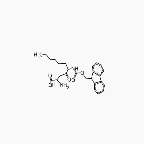 CCCCCCC(NC(=O)OCC1c2ccccc2-c2ccccc21)C(=O)CC(N)C(=O)O